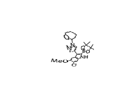 COc1cc2c(-c3cnn(C4CCCCO4)c3)c(B3OC(C)(C)C(C)(C)O3)[nH]c2cc1Cl